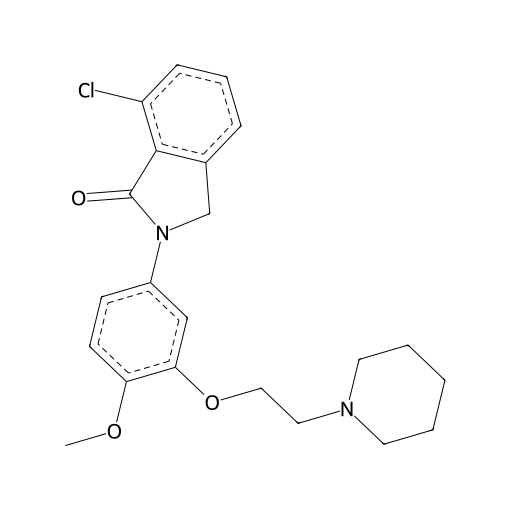 COc1ccc(N2Cc3cccc(Cl)c3C2=O)cc1OCCN1CCCCC1